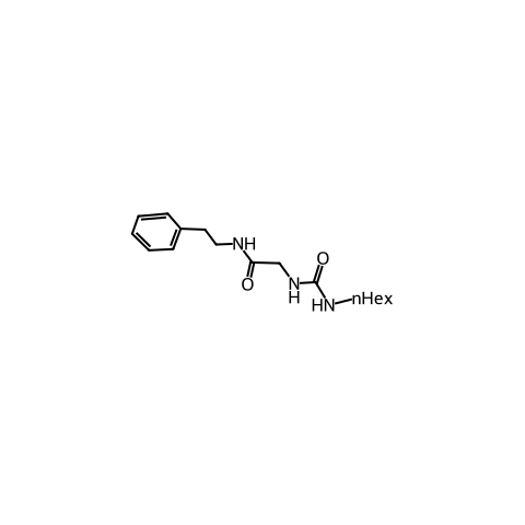 CCCCCCNC(=O)NCC(=O)NCCc1ccccc1